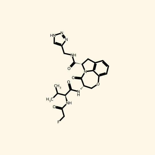 CC(C)[C@H](NC(=O)CF)C(=O)N[C@H]1COc2cccc3c2N(C1=O)[C@H](C(=O)NCc1c[nH]nn1)C3